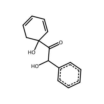 O=C(C(O)c1ccccc1)C1(O)C=CC=CC1